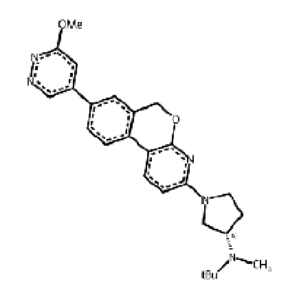 COc1cc(-c2ccc3c(c2)COc2nc(N4CC[C@H](N(C)C(C)(C)C)C4)ccc2-3)cnn1